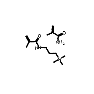 C=C(C)C(=O)NCCC[N+](C)(C)C.C=C(C)C(N)=O